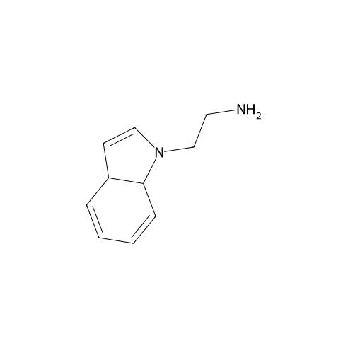 NCCN1C=CC2C=CC=CC21